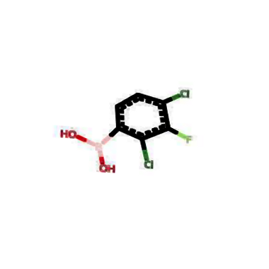 OB(O)c1ccc(Cl)c(F)c1Cl